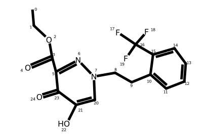 CCOC(=O)c1nn(CCc2ccccc2C(F)(F)F)cc(O)c1=O